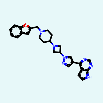 c1ccc2oc(CN3CCC(N4CC(n5cc(-c6ncnc7[nH]ccc67)cn5)C4)CC3)cc2c1